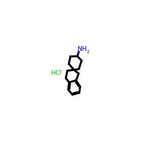 Cl.NC1CCC2(CCc3ccccc3C2)CC1